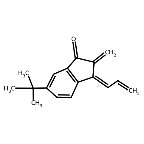 C=C/C=C1\C(=C)C(=O)c2cc(C(C)(C)C)ccc21